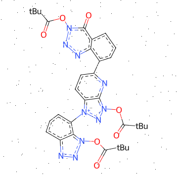 CC(C)(C)C(=O)On1nnc2c(-c3ccc4c(n3)n(OC(=O)C(C)(C)C)n[n+]4-c3cccc4nnn(OC(=O)C(C)(C)C)c34)cccc2c1=O